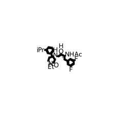 CCN1CC[C@@](NC[C@@H](O)[C@H](Cc2cc(F)cc(F)c2)NC(C)=O)(c2cccc(C(C)C)c2)CC1=O